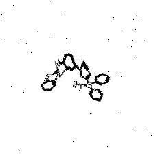 CC(C)S(c1ccccc1)(c1ccccc1)c1cccc(-c2ccc3nc4sc5ccccc5n4c3c2)c1